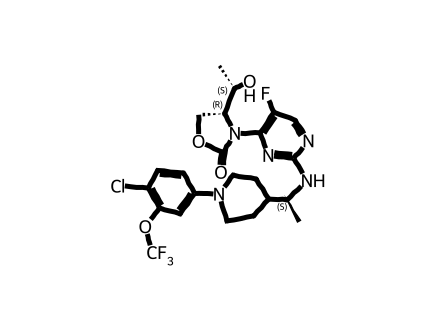 C[C@H](Nc1ncc(F)c(N2C(=O)OC[C@@H]2[C@H](C)O)n1)C1CCN(c2ccc(Cl)c(OC(F)(F)F)c2)CC1